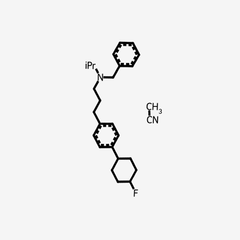 CC#N.CC(C)N(CCCc1ccc(C2CCC(F)CC2)cc1)Cc1ccccc1